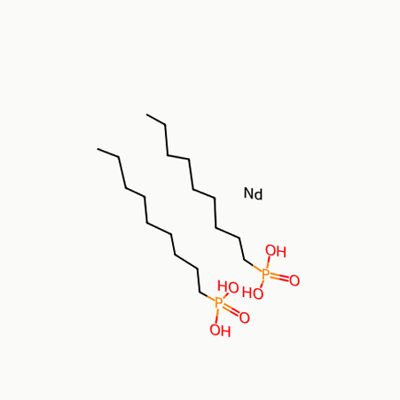 CCCCCCCCCP(=O)(O)O.CCCCCCCCCP(=O)(O)O.[Nd]